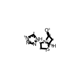 O=C1C[C@H]2SCCN12.c1nnn[nH]1